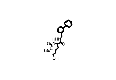 CC(C)(C)OC(=O)NC(CCCCO)C(=O)NCc1cccc(-c2ccccc2)c1